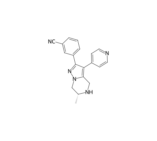 C[C@@H]1Cn2nc(-c3cccc(C#N)c3)c(-c3ccncc3)c2CN1